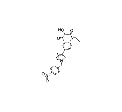 CCN1C(=O)C(O)C(=O)c2cc(-c3cn(Cc4ccc([N+](=O)[O-])cc4)nn3)ccc21